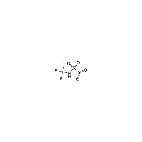 O=[SH](=O)S(=O)(=O)NC(F)(F)F